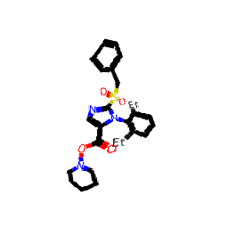 CCc1cccc(CC)c1-n1c(C(=O)ON2CCCCC2)cnc1S(=O)(=O)Cc1ccccc1